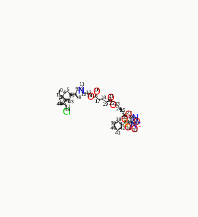 C=C[C@]1(C)CC[C@@H](C(=C)CN(C)CCOC(=O)CCCC(=O)OCC#CCOc2no[n+]([O-])c2S(=O)(=O)c2ccccc2)C[C@H]1C(=C)CCl